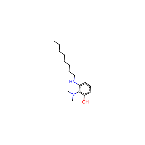 CCCCCCCCNc1cccc(O)c1N(C)C